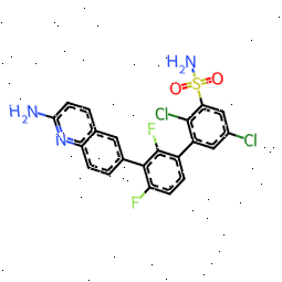 Nc1ccc2cc(-c3c(F)ccc(-c4cc(Cl)cc(S(N)(=O)=O)c4Cl)c3F)ccc2n1